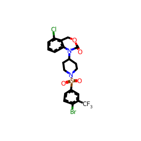 O=C1OCc2c(Cl)cccc2N1C1CCN(S(=O)(=O)c2ccc(Br)c(C(F)(F)F)c2)CC1